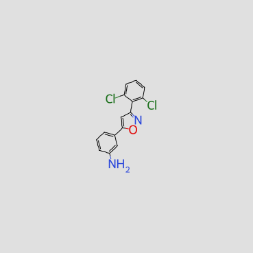 Nc1cccc(-c2cc(-c3c(Cl)cccc3Cl)no2)c1